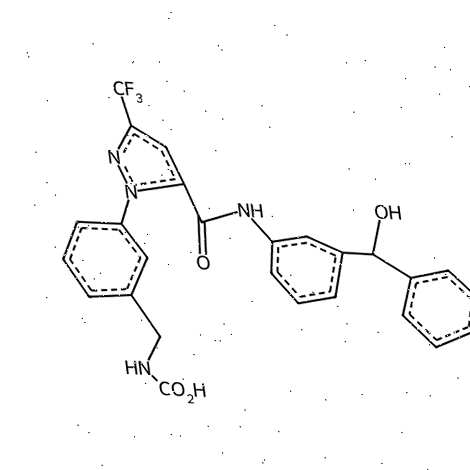 O=C(O)NCc1cccc(-n2nc(C(F)(F)F)cc2C(=O)Nc2cccc(C(O)c3ccccc3)c2)c1